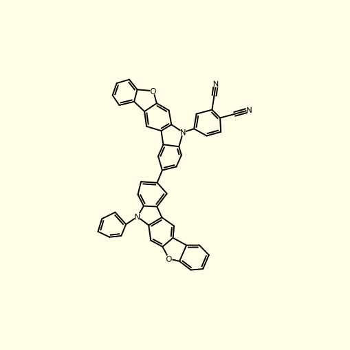 N#Cc1ccc(-n2c3ccc(-c4ccc5c(c4)c4cc6c(cc4n5-c4ccccc4)oc4ccccc46)cc3c3cc4c(cc32)oc2ccccc24)cc1C#N